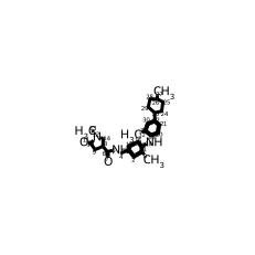 Cc1cc(CNC(=O)C2CC(=O)N(C)C2)ccc1Nc1ccc(C2CCC(C)CC2)cc1C